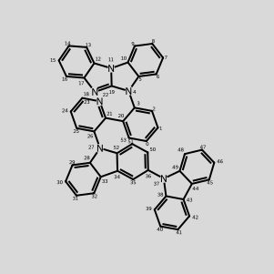 c1ccc(-n2c3ccccc3n3c4ccccc4nc23)c(-c2ncccc2-n2c3ccccc3c3cc(-n4c5ccccc5c5ccccc54)ccc32)c1